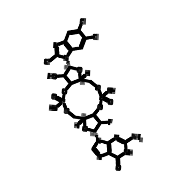 Nc1nc2c(ncn2[C@@H]2O[C@@H]3COP(=O)(S)OC4C(O)[C@H](n5c(Cl)nc6cc(Cl)c(Cl)cc65)O[C@@H]4COP(=O)(S)OC3C2F)c(=O)[nH]1